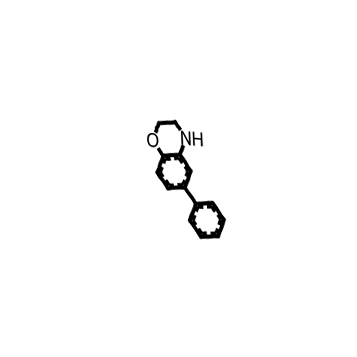 c1ccc(-c2ccc3c(c2)NCCO3)cc1